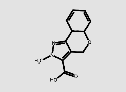 Cn1nc2c(c1C(=O)O)COC1C=CC=CC21